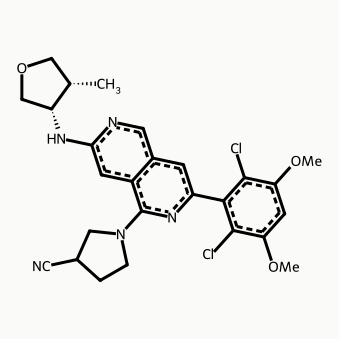 COc1cc(OC)c(Cl)c(-c2cc3cnc(N[C@@H]4COC[C@@H]4C)cc3c(N3CCC(C#N)C3)n2)c1Cl